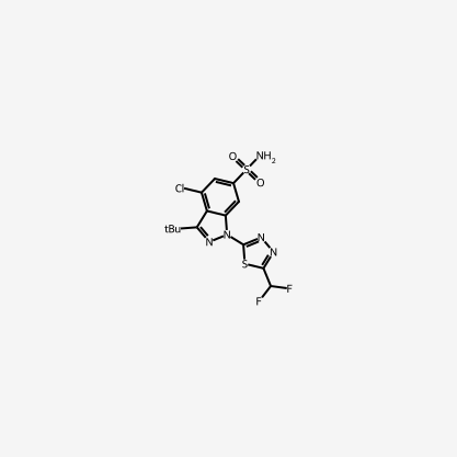 CC(C)(C)c1nn(-c2nnc(C(F)F)s2)c2cc(S(N)(=O)=O)cc(Cl)c12